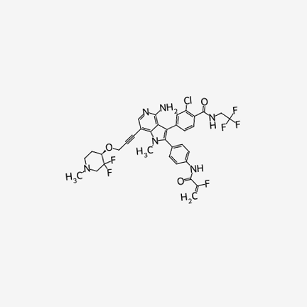 C=C(F)C(=O)Nc1ccc(-c2c(-c3ccc(C(=O)NCC(F)(F)F)c(Cl)c3)c3c(N)ncc(C#CCO[C@@H]4CCN(C)CC4(F)F)c3n2C)cc1